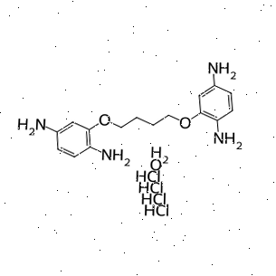 Cl.Cl.Cl.Cl.Nc1ccc(N)c(OCCCCOc2cc(N)ccc2N)c1.O